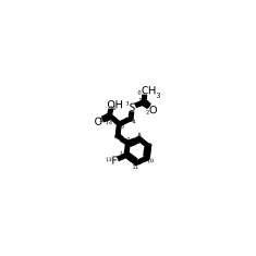 CC(=O)SCC(Cc1ccccc1F)C(=O)O